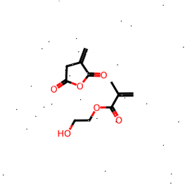 C=C(C)C(=O)OCCO.C=C1CC(=O)OC1=O